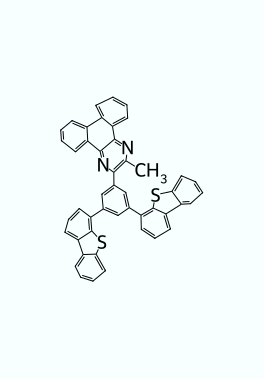 Cc1nc2c3ccccc3c3ccccc3c2nc1-c1cc(-c2cccc3c2sc2ccccc23)cc(-c2cccc3c2sc2ccccc23)c1